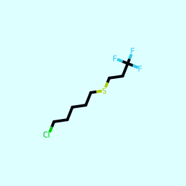 FC(F)(F)CCSCCCCCCl